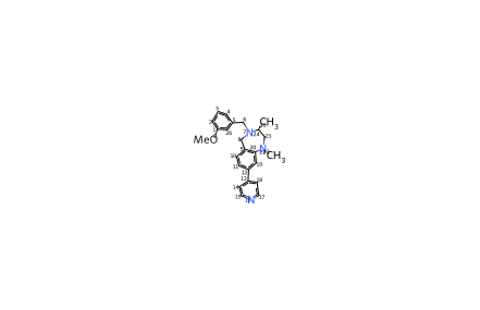 COc1cccc(CN2Cc3ccc(-c4ccncc4)cc3N(C)C[C@@H]2C)c1